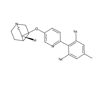 [3H]c1cc(C)cc([3H])c1-c1ccc(O[C@H]2CN3CCC2CC3)cn1